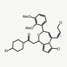 CCC1CCN(C(=O)CC2OC(c3cccc(OC)c3OC)C=C(/C=C\CCl)n3c(Cl)ccc32)CC1